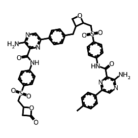 Cc1ccc(-c2cnc(N)c(C(=O)Nc3ccc(S(=O)(=O)CC4OCC4Cc4ccc(-c5cnc(N)c(C(=O)Nc6ccc(S(=O)(=O)CC7CC(=O)O7)cc6)n5)cc4)cc3)n2)cc1